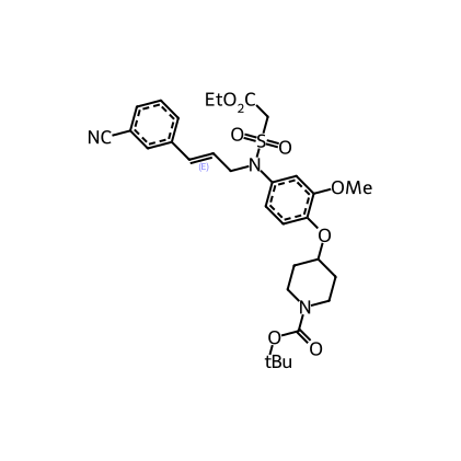 CCOC(=O)CS(=O)(=O)N(C/C=C/c1cccc(C#N)c1)c1ccc(OC2CCN(C(=O)OC(C)(C)C)CC2)c(OC)c1